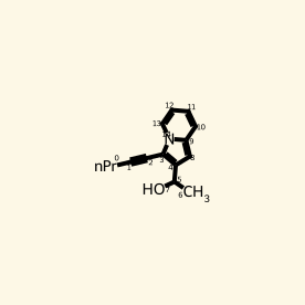 CCCC#Cc1c(C(C)O)cc2ccccn12